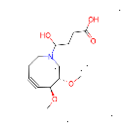 CO[C@H]1C#CCCN(C(O)CCC(=O)O)C[C@@H]1OC